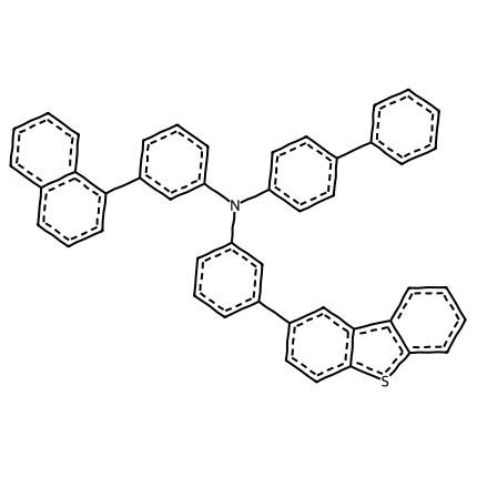 c1ccc(-c2ccc(N(c3cccc(-c4ccc5sc6ccccc6c5c4)c3)c3cccc(-c4cccc5ccccc45)c3)cc2)cc1